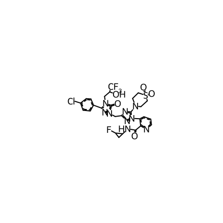 O=C(NC1CC1F)c1ncccc1-n1nc(Cn2nc(-c3ccc(Cl)cc3)n(CC(O)C(F)(F)F)c2=O)nc1N1CCS(=O)(=O)CC1